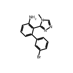 Cn1cnnc1-c1c(N)cccc1-c1cccc(Br)c1